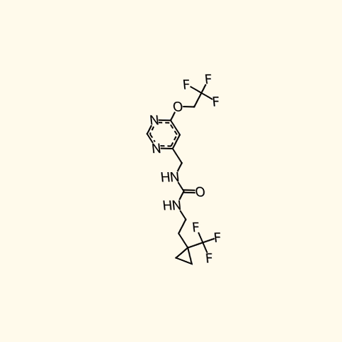 O=C(NCCC1(C(F)(F)F)CC1)NCc1cc(OCC(F)(F)F)ncn1